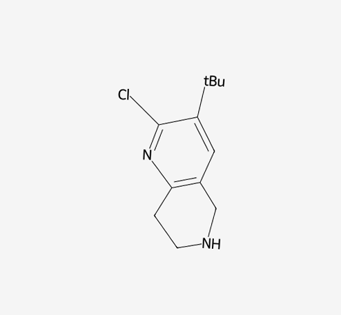 CC(C)(C)c1cc2c(nc1Cl)CCNC2